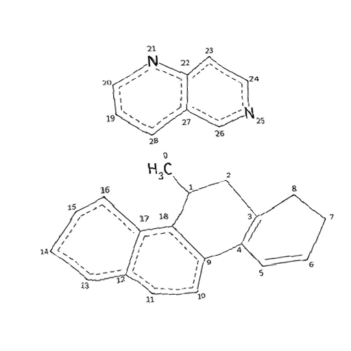 CC1CC2=C(C=CCC2)c2ccc3ccccc3c21.c1cnc2ccncc2c1